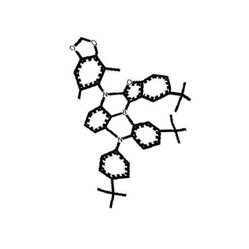 Cc1cc2c(c(C)c1N1c3cccc4c3B(c3cc(C(C)(C)C)ccc3N4c3ccc(C(C)(C)C)cc3)c3c1oc1ccc(C(C)(C)C)cc31)OCO2